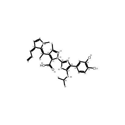 C=C/C=c1/ccn(C)/c1=C(/C)c1c(C)nn(-c2nc(-c3ccc(Cl)c(Cl)c3)c(SC(C)C)s2)c1C(=O)O